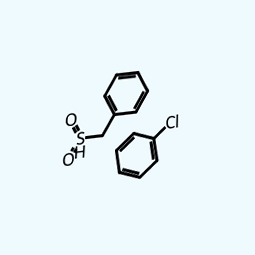 Clc1ccccc1.O=[SH](=O)Cc1ccccc1